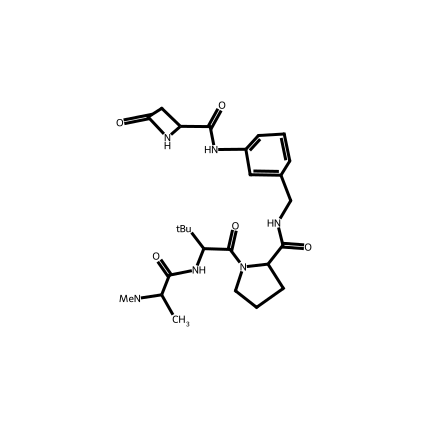 CNC(C)C(=O)NC(C(=O)N1CCCC1C(=O)NCc1cccc(NC(=O)C2CC(=O)N2)c1)C(C)(C)C